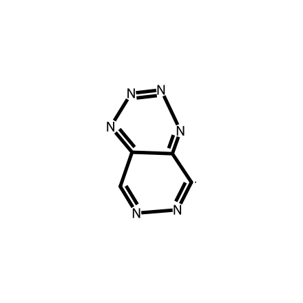 [c]1nncc2nnnnc12